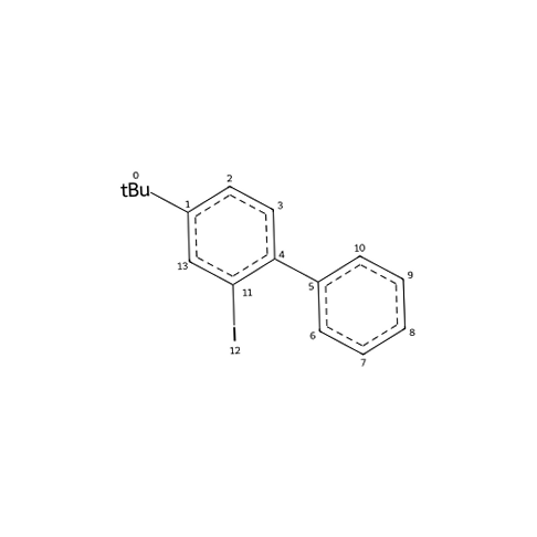 CC(C)(C)c1ccc(-c2ccccc2)c(I)c1